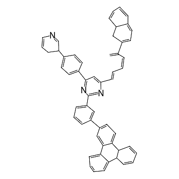 C=C(/C=C\C=C\c1cc(-c2ccc(C3C=NC=CC3)cc2)nc(-c2cccc(-c3ccc4c(c3)-c3ccccc3C3C=CC=CC43)c2)n1)C1=CC=C2C=CC=CC2C1